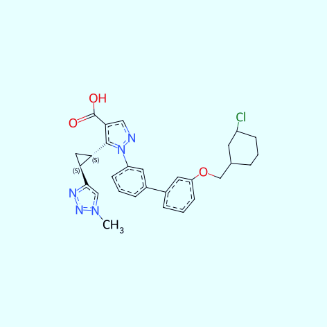 Cn1cc([C@H]2C[C@@H]2c2c(C(=O)O)cnn2-c2cccc(-c3cccc(OCC4CCCC(Cl)C4)c3)c2)nn1